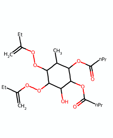 C=C(CC)OOC1C(C)C(OC(=O)CCC)C(OC(=O)CCC)C(O)C1OOC(=C)CC